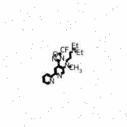 CCN(CC)CCCN(C)c1cnc(-c2ccccn2)cc1-c1noc(C(F)(F)F)n1